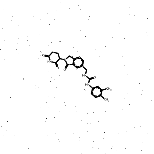 Cc1ccc(NC(=O)NCc2ccc3c(c2)C(=O)N(C2CCC(=O)NC2=O)C3)cc1C